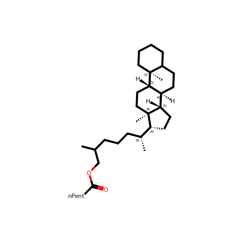 CCCCCC(=O)OCC(C)CCC[C@@H](C)[C@H]1CC[C@H]2[C@@H]3CCC4CCCC[C@]4(C)[C@H]3CC[C@]12C